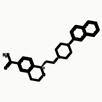 NC(=O)c1ccc2c(c1)CCO[C@H]2CCN1CCN(c2ccc3ccccc3c2)CC1